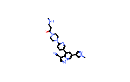 CNCCC(=O)N1CCN(c2ccc(-c3cc(-c4cnn(C)c4)cn4ncc(C#N)c34)cn2)CC1